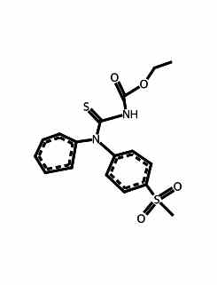 CCOC(=O)NC(=S)N(c1ccccc1)c1ccc(S(C)(=O)=O)cc1